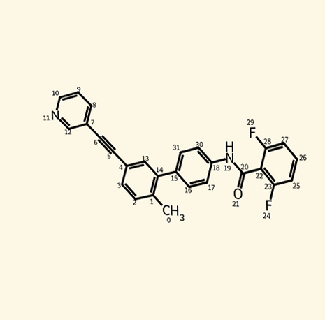 Cc1ccc(C#Cc2cccnc2)cc1-c1ccc(NC(=O)c2c(F)cccc2F)cc1